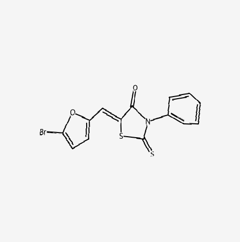 O=C1C(=Cc2ccc(Br)o2)SC(=S)N1c1ccccc1